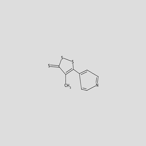 Cc1c(-c2ccncc2)ssc1=S